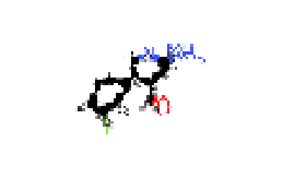 Nc1cc(C=O)c(-c2cccc(F)c2)cn1